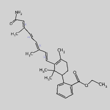 CCOC(=O)c1ccccc1C1CCC(C)=C(/C=C/C(C)=C/C=C/C(C)=C/C(N)=O)C1(C)C